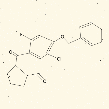 O=[C]C1CCCC1C(=O)c1cc(Cl)c(OCc2ccccc2)cc1F